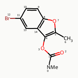 CNC(=O)Oc1c(C)oc2ccc(Br)cc12